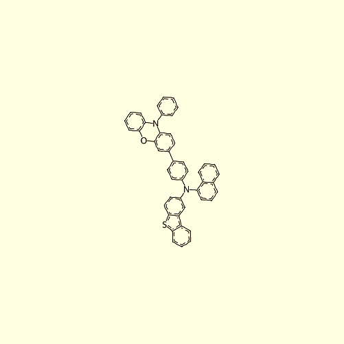 c1ccc(N2c3ccccc3Oc3cc(-c4ccc(N(c5ccc6sc7ccccc7c6c5)c5cccc6ccccc56)cc4)ccc32)cc1